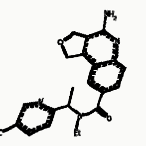 CCN(C(=O)c1ccc2nc(N)c3c(c2c1)COC3)C(C)c1ccc(C(F)(F)F)cn1